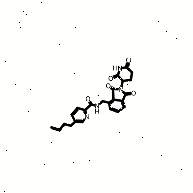 CCCCc1ccc(C(=O)NCc2cccc3c2C(=O)N(C2CCC(=O)NC2=O)C3=O)nc1